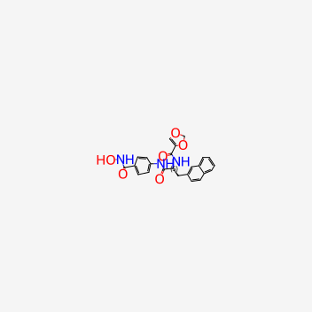 O=C(N[C@@H](Cc1ccc2ccccc2c1)C(=O)Nc1ccc(C(=O)NO)cc1)C1=COCO1